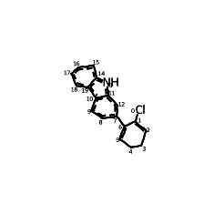 ClC1=CCCC=C1c1ccc2c(c1)[nH]c1ccccc12